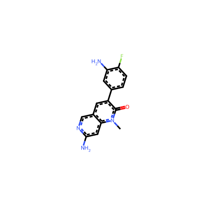 Cn1c(=O)c(-c2ccc(F)c(N)c2)cc2cnc(N)cc21